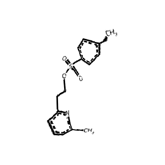 Cc1ccc(S(=O)(=O)OCCc2cccc(C)n2)cc1